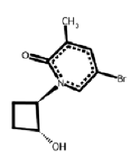 Cc1cc(Br)cn([C@@H]2CC[C@H]2O)c1=O